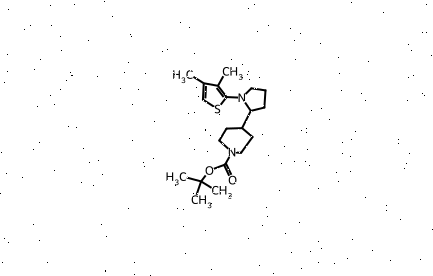 Cc1csc(N2CCCC2C2CCN(C(=O)OC(C)(C)C)CC2)c1C